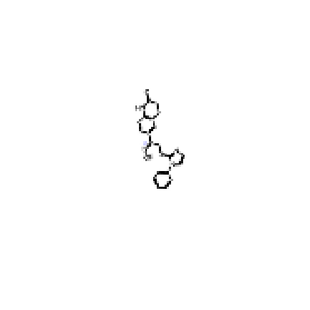 O=C1CCc2cc(/C(CSc3nccn3-c3ccccc3)=N/O)ccc2N1